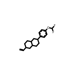 C=CC1CCC2CC(c3ccc(OC(F)F)cc3)CCC2C1